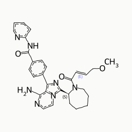 COC/C=C/C(=O)N1CCCCC[C@H]1c1nc(-c2ccc(C(=O)Nc3ccccn3)cc2)c2c(N)nccn12